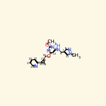 COc1nc(NCc2cnn(C)c2)cc(OC[C@H]2C[C@@H]2c2ccccn2)n1